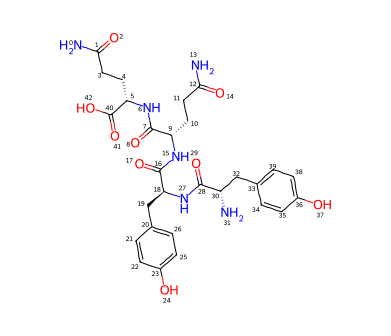 NC(=O)CC[C@H](NC(=O)[C@H](CCC(N)=O)NC(=O)[C@H](Cc1ccc(O)cc1)NC(=O)[C@@H](N)Cc1ccc(O)cc1)C(=O)O